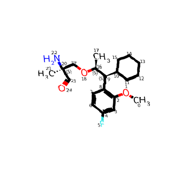 COc1cc(F)ccc1[C@H](C1CCCCC1)[C@H](C)OC[C@](C)(N)C=O